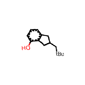 CC(C)(C)CC1Cc2cccc(O)c2C1